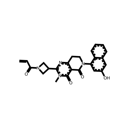 C=CC(=O)N1CC(c2nc3c(c(=O)n2C)C(=O)N(c2cc(O)cc4ccccc24)CC3)C1